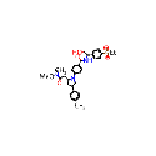 CCS(=O)(=O)c1ccc([C@H](CO)NC(=O)c2ccc(N3CC(c4ccc(C(F)(F)F)cc4)C[C@H]3CC(=O)N(C)OC)cc2)cc1